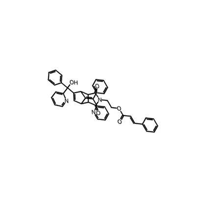 O=C(C=Cc1ccccc1)OCCN1C(=O)C2C3C=C(C(O)(c4ccccc4)c4ccccn4)C(C3=C(c3ccccc3)c3ccccn3)C2C1=O